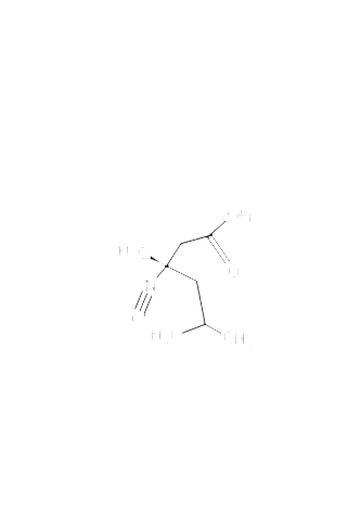 [C-]#[N+][C@](C)(CC(=O)O)CC(C)C